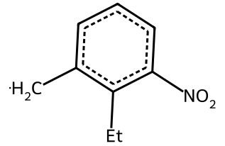 [CH2]c1cccc([N+](=O)[O-])c1CC